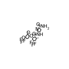 COc1cc(OC(F)(F)F)ccc1Oc1cc(C(F)(F)F)cc(C)c1C(=O)Nc1ccc(C(N)=O)nc1